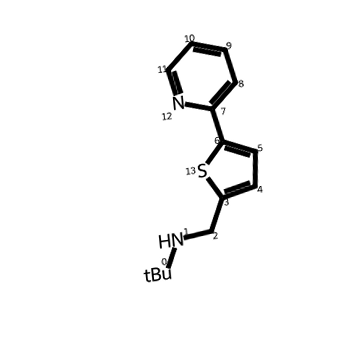 CC(C)(C)NCc1ccc(-c2ccccn2)s1